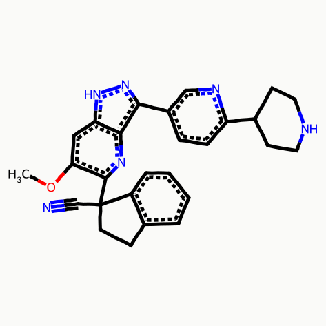 COc1cc2[nH]nc(-c3ccc(C4CCNCC4)nc3)c2nc1C1(C#N)CCc2ccccc21